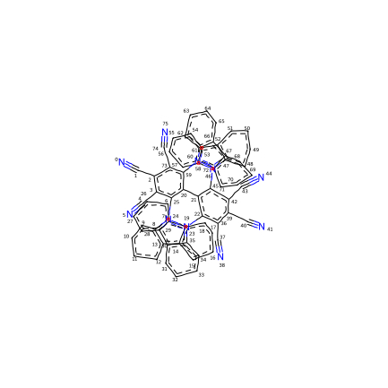 N#Cc1c(C#N)c(-n2c3ccccc3c3ccccc32)c(-c2c(-n3c4ccccc4c4ccccc43)c(C#N)c(C#N)c(C#N)c2-n2c3ccccc3c3ccccc32)c(-n2c3ccccc3c3ccccc32)c1C#N